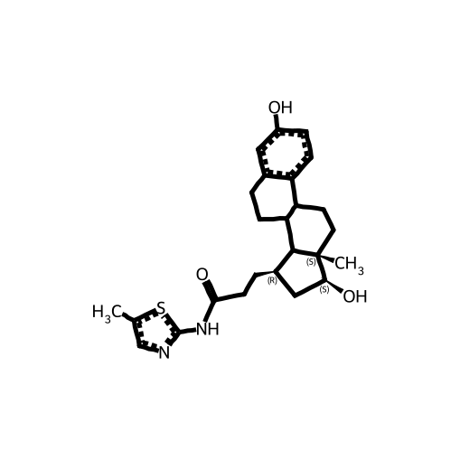 Cc1cnc(NC(=O)CC[C@@H]2C[C@H](O)[C@@]3(C)CCC4c5ccc(O)cc5CCC4C23)s1